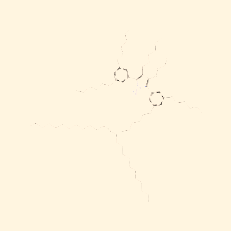 CCCCCCC1=C(c2cc(CCCCCC)cc(CCCCCC)c2)[N+](=[N-])C(c2cc(CCCCCC)cc(CCCCCC)c2)=C1CCCC.CCCCCCCCCCC[CH2][Ni][CH2]CCCCCCCCCCC